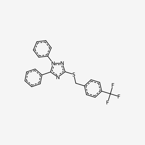 FC(F)(F)c1ccc(CSc2nc(-c3ccccc3)n(-c3ccccc3)n2)cc1